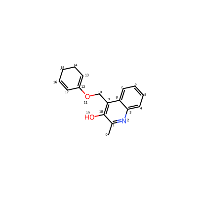 Cc1nc2ccccc2c(COC2=CC[CH]C=C2)c1O